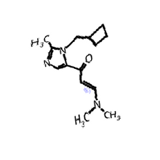 Cc1ncc(C(=O)/C=C/N(C)C)n1CC1CCC1